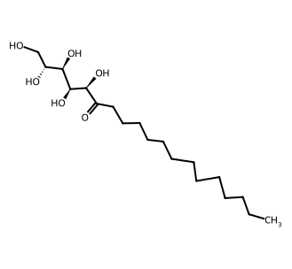 CCCCCCCCCCCCCC(=O)[C@H](O)[C@@H](O)[C@H](O)[C@H](O)CO